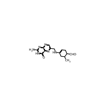 CC1CC(NCc2cnc3nc(N)[nH]c(=O)c3n2)=CCC1[C]=O